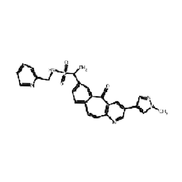 CC(c1ccc2ccc3ncc(-c4cnn(C)c4)cc3c(=O)c2c1)S(=O)(=O)NCc1ccccn1